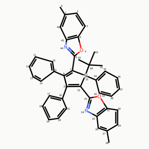 Cc1ccc2oc(C3=C(c4ccccc4)C(c4ccccc4)=C(c4nc5cc(C)ccc5o4)[Si]3(c3ccccc3)C(C)(C)C)nc2c1